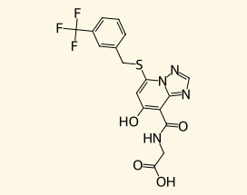 O=C(O)CNC(=O)c1c(O)cc(SCc2cccc(C(F)(F)F)c2)n2ncnc12